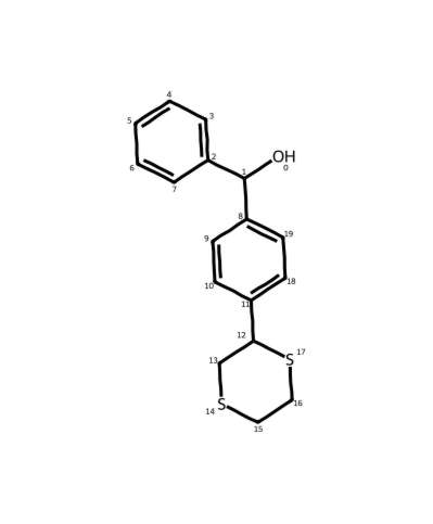 OC(c1ccccc1)c1ccc(C2CSCCS2)cc1